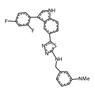 CNc1cccc(CNc2nnc(-c3ccc4[nH]cc(-c5ccc(F)cc5F)c4c3)s2)c1